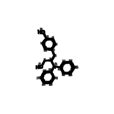 OCC(Cc1ccc(O)cc1)N(c1ccccc1)c1ccccc1